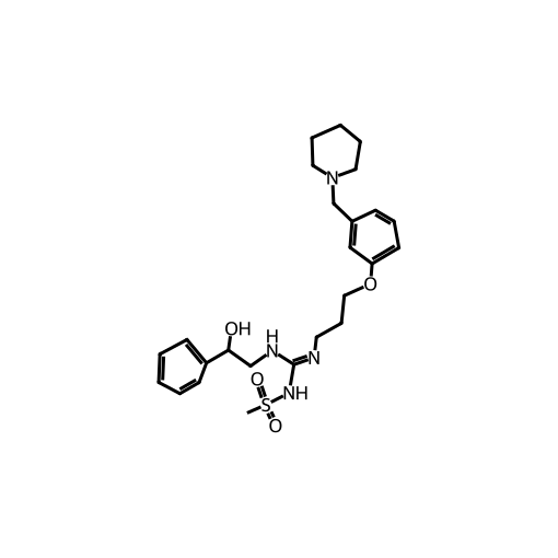 CS(=O)(=O)N/C(=N/CCCOc1cccc(CN2CCCCC2)c1)NCC(O)c1ccccc1